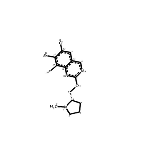 CN1CCC[C@H]1COc1ncc2cc(Cl)c(Br)c(F)c2n1